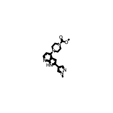 COC(=O)N1CCN(c2ccnc3[nH]c(-c4cnn(C)c4)cc23)CC1